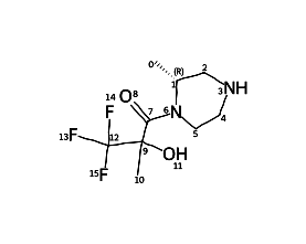 C[C@@H]1CNCCN1C(=O)C(C)(O)C(F)(F)F